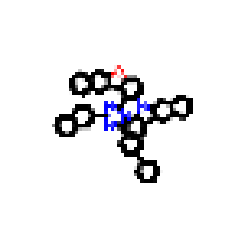 c1ccc(-c2ccc(-c3nc(-c4ccc5ccccc5c4)nc(-c4c(-n5c6ccccc6c6cc7ccccc7cc65)ccc5oc6cc7ccccc7cc6c45)n3)cc2)cc1